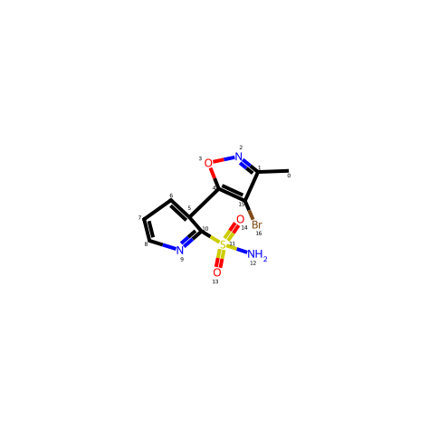 Cc1noc(-c2cccnc2S(N)(=O)=O)c1Br